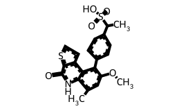 COc1cc(C)c2[nH]c(=O)c3sccc3c2c1-c1ccc(C(C)S(=O)(=O)O)cc1